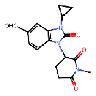 CN1C(=O)CCC(n2c(=O)n(C3CC3)c3cc(C=O)ccc32)C1=O